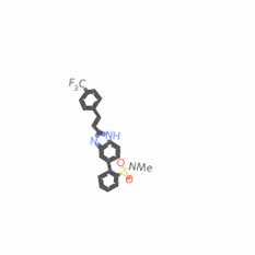 CNS(=O)(=O)c1ccccc1-c1ccc2[nH]c(C=Cc3ccc(C(F)(F)F)cc3)nc2c1